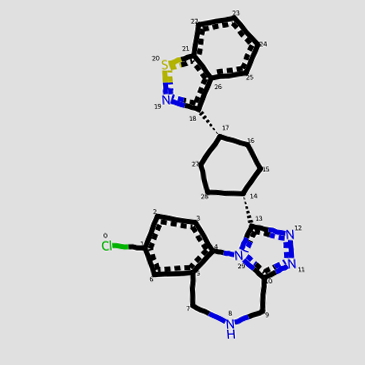 Clc1ccc2c(c1)CNCc1nnc([C@H]3CC[C@@H](c4nsc5ccccc54)CC3)n1-2